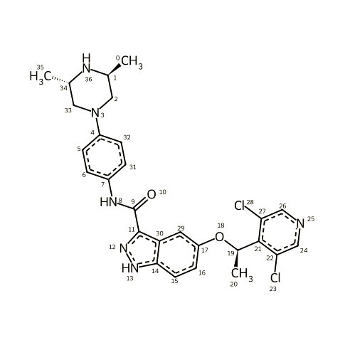 C[C@H]1CN(c2ccc(NC(=O)c3n[nH]c4ccc(O[C@H](C)c5c(Cl)cncc5Cl)cc34)cc2)C[C@H](C)N1